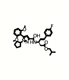 COc1cccc(OC)c1-c1cc(C(O)N[C@@H](/C=C/c2ccc(F)cc2)CC(=O)OCC(C)C)nn1C1CCCC1